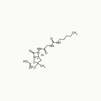 CCCCCNC(=O)NCC(=O)N[C@@H]1C(=O)N2[C@@H]1SC(C)(C)[C@@H]2C(=O)O